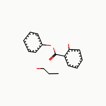 CCCO.O=C(Oc1ccccc1)c1ccccc1O